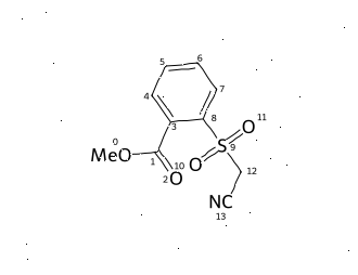 COC(=O)c1ccccc1S(=O)(=O)CC#N